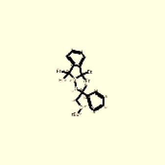 CCC1(CC)c2ccccc2C(CC)(CC)N1OC(C)(COC(C)(C)C)c1ccccc1